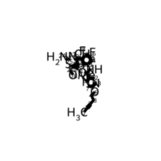 CC#CCCOc1cnc(C(=O)Nc2cc(F)c(F)c([C@]3(C)N=C(N)S[C@@]4(COC)C[C@H]43)c2)cn1